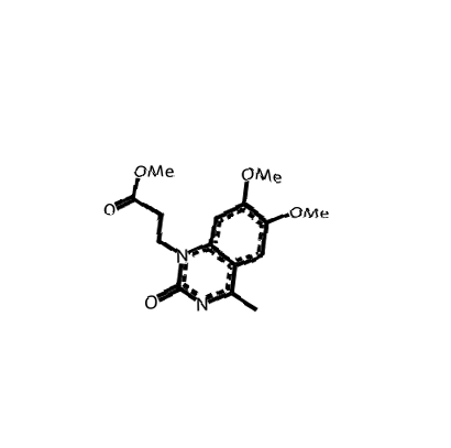 COC(=O)CCn1c(=O)nc(C)c2cc(OC)c(OC)cc21